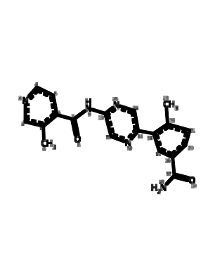 Cc1cnccc1C(=O)Nc1cnc(-c2cc(C(N)=O)ccc2C)cn1